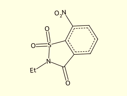 CCN1C(=O)c2cccc([N+](=O)[O-])c2S1(=O)=O